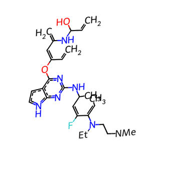 C=C/C(=C\C(=C)NC(O)C=C)Oc1nc(NC(C)/C=C(F)\C(=C/C)N(CC)CCNC)nc2[nH]ccc12